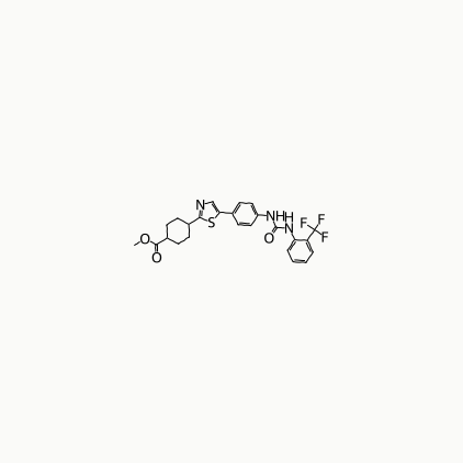 COC(=O)C1CCC(c2ncc(-c3ccc(NC(=O)Nc4ccccc4C(F)(F)F)cc3)s2)CC1